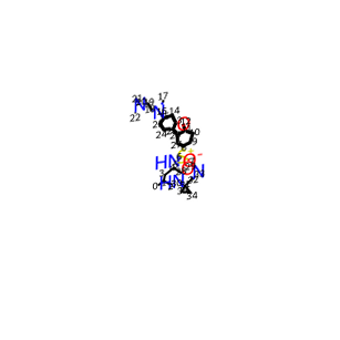 CC(C)CC(N[S+]([O-])c1ccc2oc3cc(N(C)CCN(C)C)ccc3c2c1)C(=O)NC1(C#N)CC1